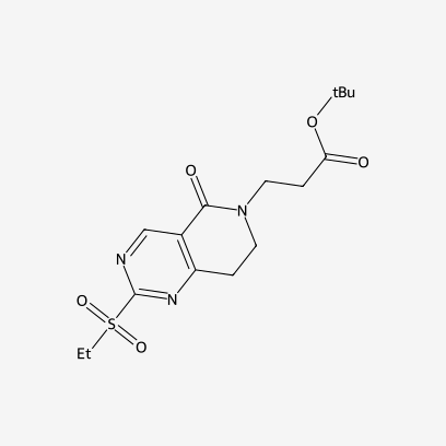 CCS(=O)(=O)c1ncc2c(n1)CCN(CCC(=O)OC(C)(C)C)C2=O